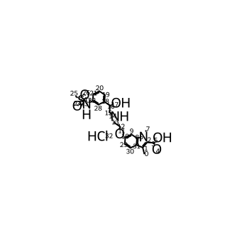 Cc1c(C(=O)O)n(C)c2cc(OCCNC[C@H](O)c3cccc(NS(C)(=O)=O)c3)ccc12.Cl